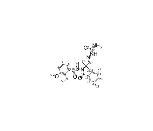 CCc1c(OC)cccc1C(=O)NN(C(=O)c1cc(C)cc(C)c1)C(C)(C)/C=N/NC(N)=O